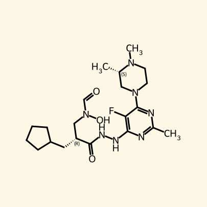 Cc1nc(NNC(=O)[C@H](CC2CCCC2)CN(O)C=O)c(F)c(N2CCN(C)[C@@H](C)C2)n1